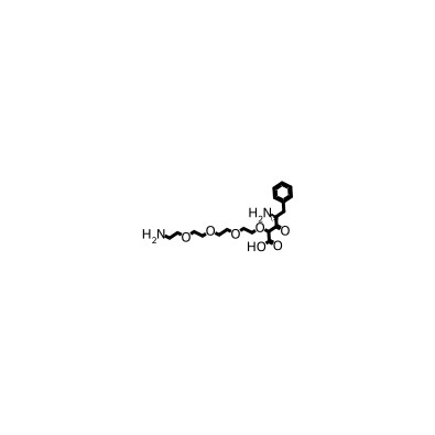 NCCOCCOCCOCCOC(C(=O)O)C(=O)[C@@H](N)Cc1ccccc1